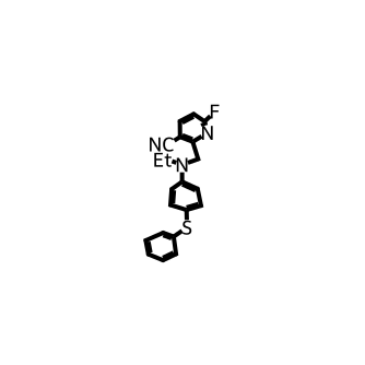 CCN(Cc1nc(F)ccc1C#N)c1ccc(Sc2ccccc2)cc1